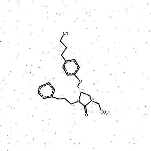 N#CCCCc1ccc(OC[C@@H]2C[C@@H](CC(=O)O)C(=O)N2CCCc2ccccc2)cc1